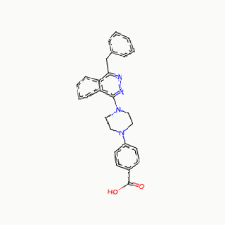 O=C(O)c1ccc(N2CCN(c3nnc(Cc4ccccc4)c4ccccc34)CC2)cc1